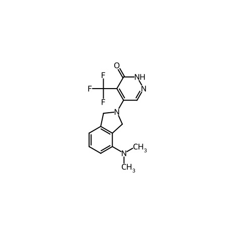 CN(C)c1cccc2c1CN(c1cn[nH]c(=O)c1C(F)(F)F)C2